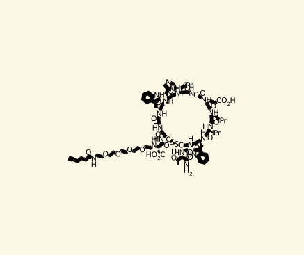 C#CCCCC(=O)NCCOCCOCCOCCOCCN[C@@H](CC(=O)O)C(=O)N[C@H]1CSSC[C@@H](C(=O)N[C@H](C(N)=O)[C@@H](C)O)NC(=O)[C@H](Cc2c[nH]c3ccccc23)NC(=O)[C@H](C(C)C)NC(=O)[C@H](CC(C)C)NC(=O)[C@H](CCC(=O)O)NC(=O)CNC(=O)[C@H](CC(C)C)NC(=O)[C@H](Cc2cnc[nH]2)NC(=O)[C@H](Cc2c[nH]c3ccccc23)NC(=O)[C@H](C)NC1=O